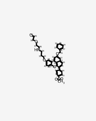 CS(=O)(=O)c1ccc(-c2ccc3cc(OCc4ccccc4)ccc3c2Oc2ccc(OCCCNCCOCC=O)cc2)cc1